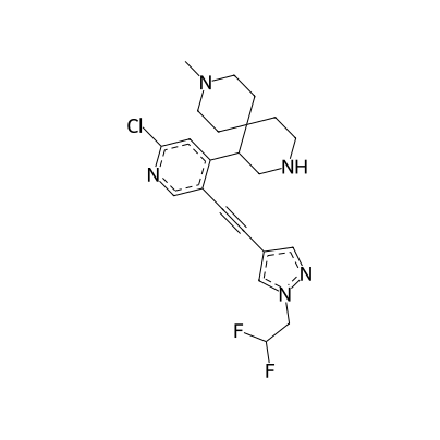 CN1CCC2(CCNCC2c2cc(Cl)ncc2C#Cc2cnn(CC(F)F)c2)CC1